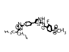 CC(C)c1nc(N2CCC(c3cnc(NC(=O)c4ccc(S(C)(=O)=O)cc4F)s3)CC2)no1